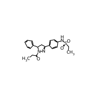 CCC(=O)N1N=C(c2ccc(NS(=O)(=O)CC)cc2)CC1c1ccccc1